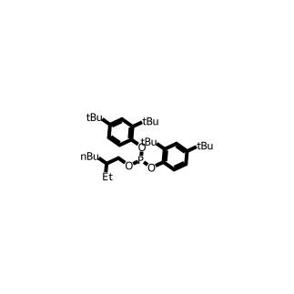 CCCCC(CC)COP(Oc1ccc(C(C)(C)C)cc1C(C)(C)C)Oc1ccc(C(C)(C)C)cc1C(C)(C)C